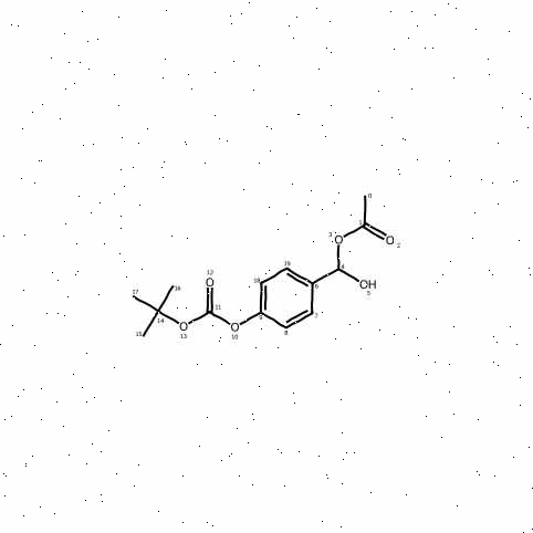 CC(=O)OC(O)c1ccc(OC(=O)OC(C)(C)C)cc1